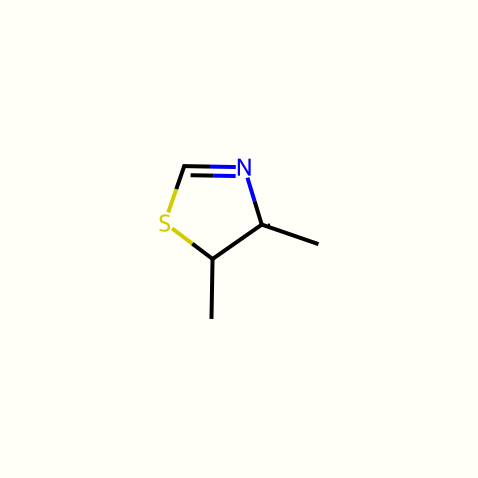 C[C]1N=CSC1C